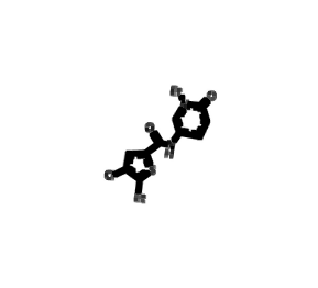 CCc1sc(C(=O)Nc2ccc(=O)n(CC)c2)cc1Cl